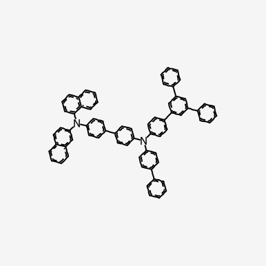 c1ccc(-c2ccc(N(c3ccc(-c4ccc(N(c5ccc6ccccc6c5)c5cccc6ccccc56)cc4)cc3)c3ccc(-c4cc(-c5ccccc5)cc(-c5ccccc5)c4)cc3)cc2)cc1